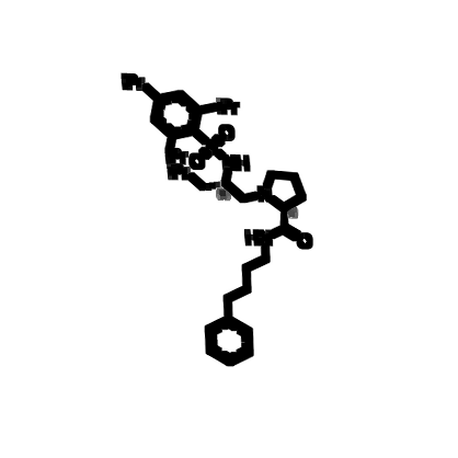 CC(C)C[C@@H](CN1CCC[C@H]1C(=O)NCCCCc1ccccc1)NS(=O)(=O)c1c(C(C)C)cc(C(C)C)cc1C(C)C